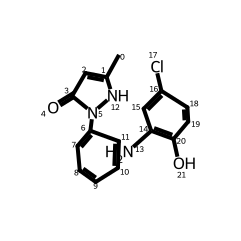 Cc1cc(=O)n(-c2ccccc2)[nH]1.Nc1cc(Cl)ccc1O